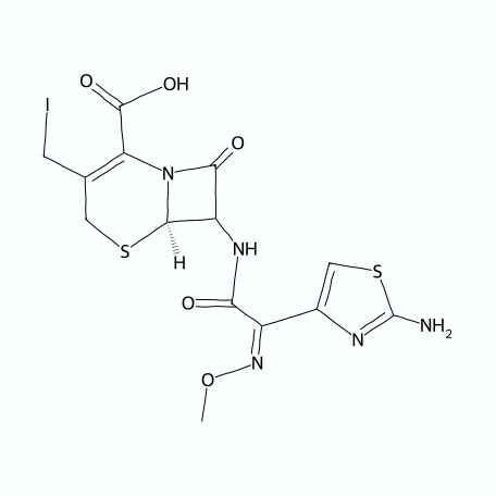 CO/N=C(\C(=O)NC1C(=O)N2C(C(=O)O)=C(CI)CS[C@H]12)c1csc(N)n1